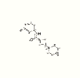 O=C(Nc1cccc(F)c1)N1CC(N2CCOCC2)C1